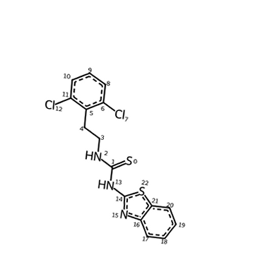 S=C(NCCc1c(Cl)cccc1Cl)Nc1nc2ccccc2s1